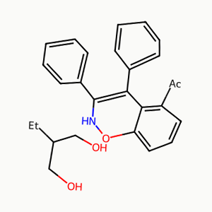 CC(=O)c1cccc2c1C(c1ccccc1)=C(c1ccccc1)NO2.CCC(CO)CO